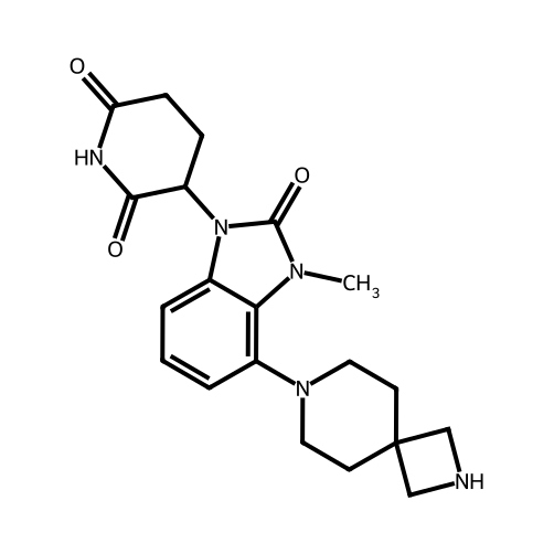 Cn1c(=O)n(C2CCC(=O)NC2=O)c2cccc(N3CCC4(CC3)CNC4)c21